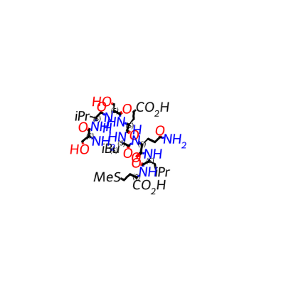 CC[C@H](C)[C@H](NC(=O)[C@H](CCC(=O)O)NC(=O)[C@H](CO)NC(=O)[C@@H](NC(=O)[C@@H](N)CO)C(C)C)C(=O)N[C@@H](CCC(N)=O)C(=O)N[C@@H](CC(C)C)C(=O)N[C@@H](CCSC)C(=O)O